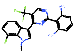 Cn1cc(-c2nc(-c3c(N)cccc3N)ncc2C(F)(F)F)c2cccc(F)c21